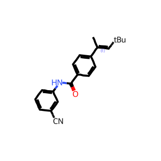 C/C(=C\C(C)(C)C)c1ccc(C(=O)Nc2cccc(C#N)c2)cc1